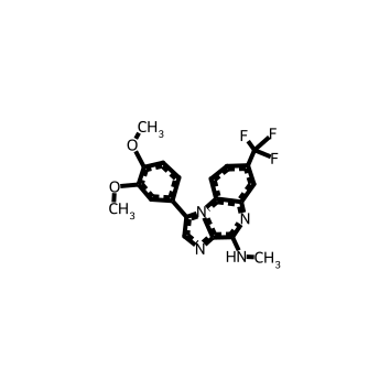 CNc1nc2cc(C(F)(F)F)ccc2n2c(-c3ccc(OC)c(OC)c3)cnc12